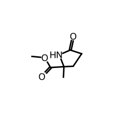 COC(=O)C1(C)CCC(=O)N1